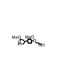 CCOCCOc1ccc(C(CC(=O)OC)CC(C)C)c(OC)c1